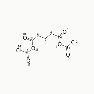 O=C(Cl)OC(=O)CCCC(=O)OC(=O)Cl